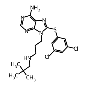 CC(C)(C)CNCCCn1c(Sc2cc(Cl)cc(Cl)c2)nc2c(N)ncnc21